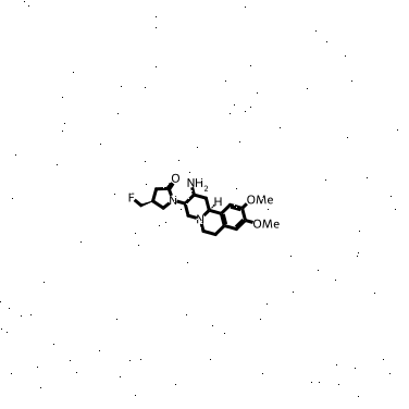 COc1cc2c(cc1OC)[C@@H]1CC(N)C(N3C[C@@H](CF)CC3=O)CN1CC2